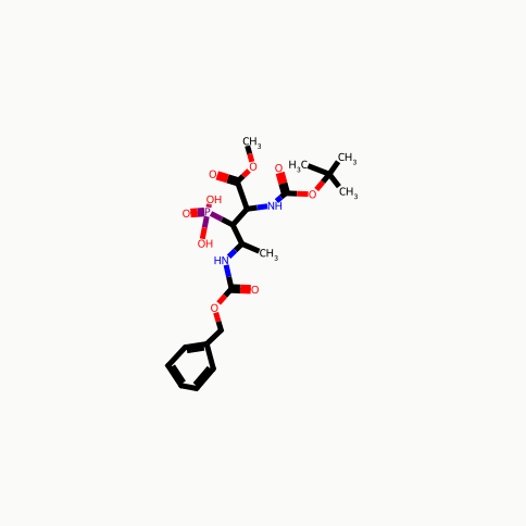 COC(=O)C(NC(=O)OC(C)(C)C)C(C(C)NC(=O)OCc1ccccc1)P(=O)(O)O